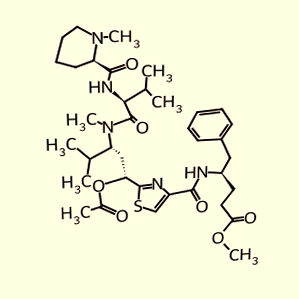 COC(=O)CC[C@H](Cc1ccccc1)NC(=O)c1csc([C@@H](C[C@H](C(C)C)N(C)C(=O)[C@@H](NC(=O)[C@H]2CCCCN2C)C(C)C)OC(C)=O)n1